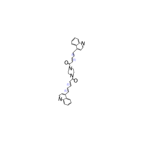 O=C(/C=C/C=C/c1ccnc2ccccc12)N1CCN(C(=O)/C=C/C=C/c2ccnc3ccccc23)CC1